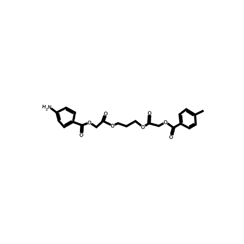 Cc1ccc(C(=O)OCC(=O)OCCCOC(=O)COC(=O)c2ccc(N)cc2)cc1